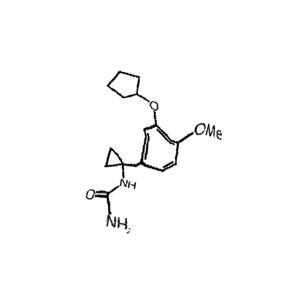 COc1ccc(C2(NC(N)=O)CC2)cc1OC1CCCC1